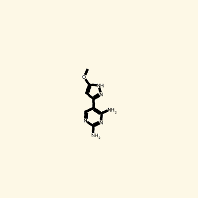 COc1cc(-c2cnc(N)nc2N)n[nH]1